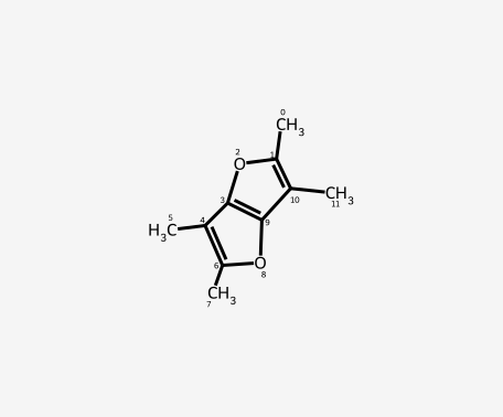 Cc1oc2c(C)c(C)oc2c1C